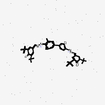 Cc1cc(-c2ccc(/N=N/C=C3C=C(C(C)(C)C)C(=O)C(C(C)(C)C)=C3)c(Cl)c2)ccc1/N=N/C=C1C=C(C(C)(C)C)C(=O)C(C(C)(C)C)=C1